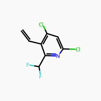 C=Cc1c(Cl)cc(Cl)nc1C(F)F